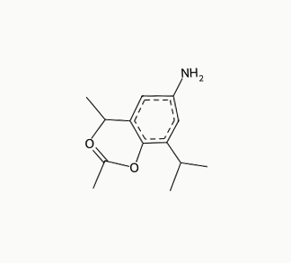 CC(=O)Oc1c(C(C)C)cc(N)cc1C(C)C